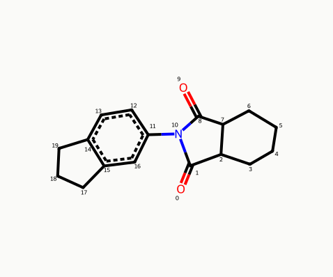 O=C1C2CCCCC2C(=O)N1c1ccc2c(c1)CCC2